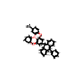 CC(C)(C)c1ccc2c(c1)B1c3ccccc3Oc3cc(-c4c5ccccc5c(-c5ccccc5)c5ccccc45)cc(c31)O2